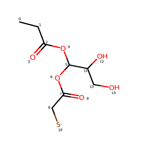 CCC(=O)OC(OC(=O)C[S])C(O)CO